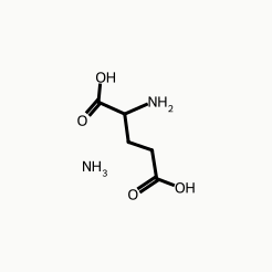 N.NC(CCC(=O)O)C(=O)O